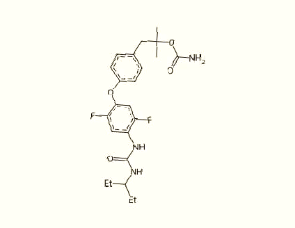 CCC(CC)NC(=O)Nc1cc(F)c(Oc2ccc(CC(C)(C)OC(N)=O)cc2)cc1F